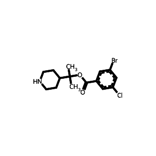 CC(C)(OC(=O)c1cc(Cl)cc(Br)c1)C1CCNCC1